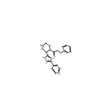 O=C(COc1ccccc1)N1CCNCC1c1nc(-c2ccncc2)no1